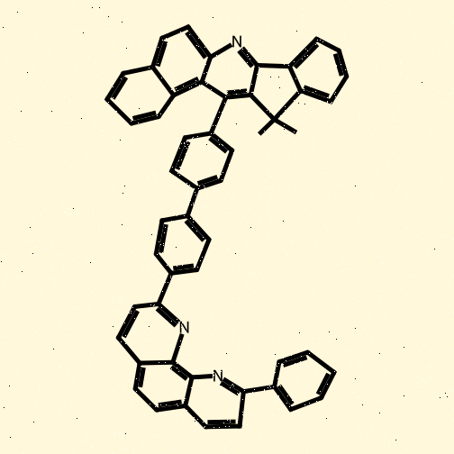 CC1(C)c2ccccc2-c2nc3ccc4ccccc4c3c(-c3ccc(-c4ccc(-c5ccc6ccc7ccc(-c8ccccc8)nc7c6n5)cc4)cc3)c21